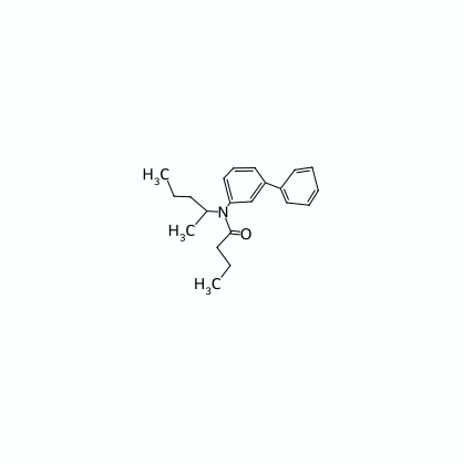 CCCC(=O)N(c1cccc(-c2ccccc2)c1)C(C)CCC